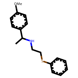 COc1ccc(C(C)NCCSc2ccccc2)cc1